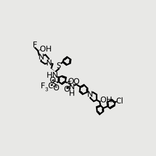 O=C(NS(=O)(=O)c1ccc(N[C@H](CCN2CCN(C[C@@H](O)CF)CC2)CSc2ccccc2)c(S(=O)(=O)C(F)(F)F)c1)c1ccc(N2CCC([C@@H](O)c3ccccc3-c3ccc(Cl)cc3)CC2)cc1